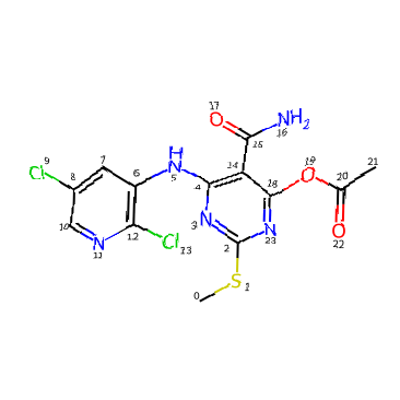 CSc1nc(Nc2cc(Cl)cnc2Cl)c(C(N)=O)c(OC(C)=O)n1